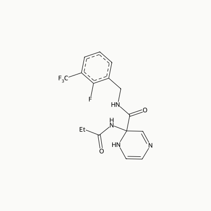 CCC(=O)NC1(C(=O)NCc2cccc(C(F)(F)F)c2F)C=NC=CN1